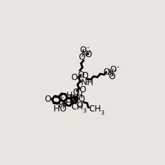 CCCC1O[C@@H]2C[C@H]3[C@@H]4CCC5=CC(=O)C=C[C@]5(C)[C@H]4[C@@H](O)C[C@]3(C)C2(C(=O)COC(=O)CC(NC(=O)CCCCCO[N+](=O)[O-])C(=O)OCCCCO[N+](=O)[O-])O1